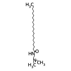 CCCCCCCCCCCCCCCCCCCCCC(=O)NCCN(CC)CC